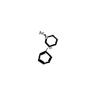 CC(=O)N1CCC[C@H](c2ccccc2)C1